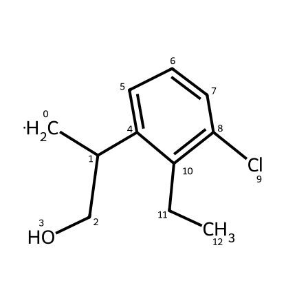 [CH2]C(CO)c1cccc(Cl)c1CC